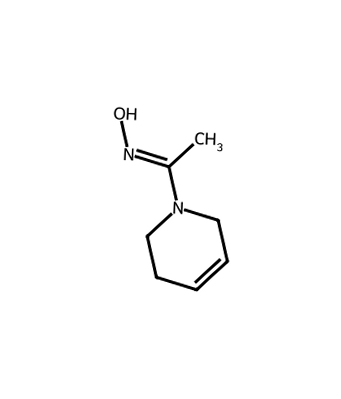 CC(=NO)N1CC=CCC1